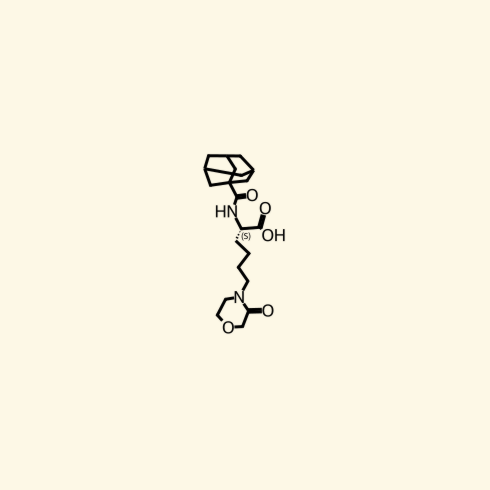 O=C(O)[C@H](CCCCN1CCOCC1=O)NC(=O)C12CC3CC(CC(C3)C1)C2